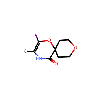 CC1=C(I)OC2(CCOCC2)C(=O)N1